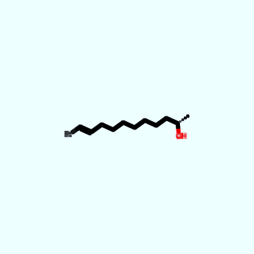 CC/C=C/CCCCCCC[C@H](C)O